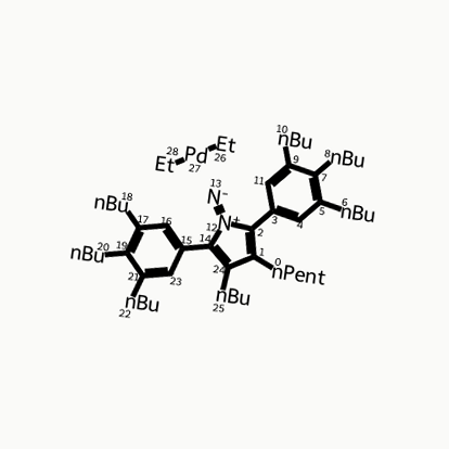 CCCCCC1=C(c2cc(CCCC)c(CCCC)c(CCCC)c2)[N+](=[N-])C(c2cc(CCCC)c(CCCC)c(CCCC)c2)=C1CCCC.C[CH2][Pd][CH2]C